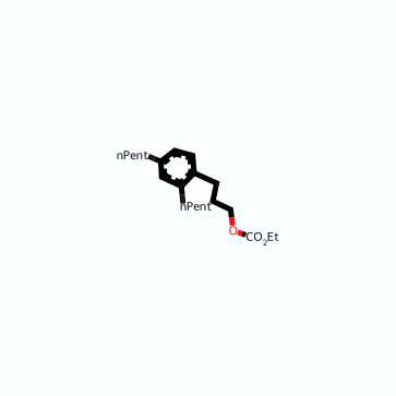 CCCCCc1ccc(CCCOC(=O)OCC)c(CCCCC)c1